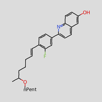 CCCCCOC(C)CCC/C=C/c1ccc(-c2ccc3cc(O)ccc3n2)cc1F